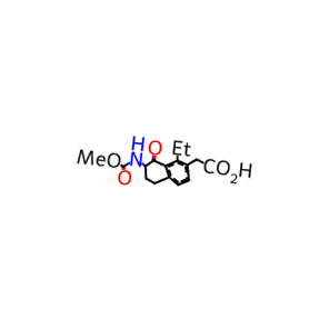 CCc1c(CC(=O)O)ccc2c1C(=O)C(NC(=O)OC)CC2